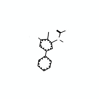 CCN(C(=O)C(C)C)c1cc(-c2ccccc2)cc(C(=O)O)c1C